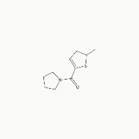 CC1CC=C(C(=O)N2CCCC2)S1